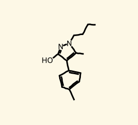 CCCCn1nc(O)c(-c2ccc(C)cc2)c1C